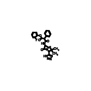 CC1(C)SC2C(NC(=O)C(C(=O)Oc3ccccc3F)c3ccccc3)C(=O)N2C1c1nnn[nH]1